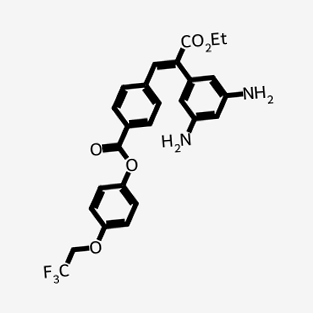 CCOC(=O)C(=Cc1ccc(C(=O)Oc2ccc(OCC(F)(F)F)cc2)cc1)c1cc(N)cc(N)c1